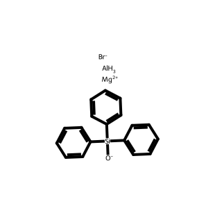 [AlH3].[Br-].[Mg+2].[O-][Si](c1ccccc1)(c1ccccc1)c1ccccc1